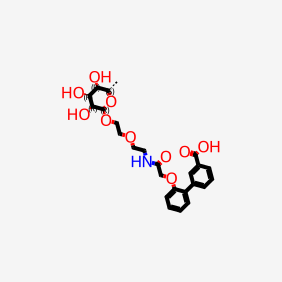 C[C@@H]1O[C@@H](OCCOCCNC(=O)COc2ccccc2-c2cccc(C(=O)O)c2)[C@H](O)[C@H](O)[C@H]1O